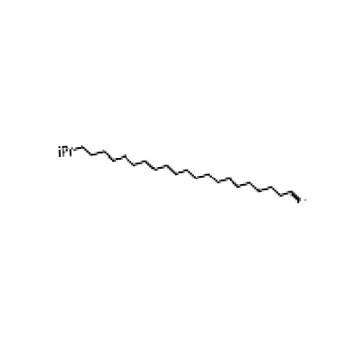 [CH]=CCCCCCCCCCCCCCCCCCCCCC(C)C